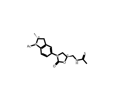 [CH2]C(=O)N1c2ccc(N3C[C@@H](CNC(C)=S)OC3=O)cc2C[C@H]1C